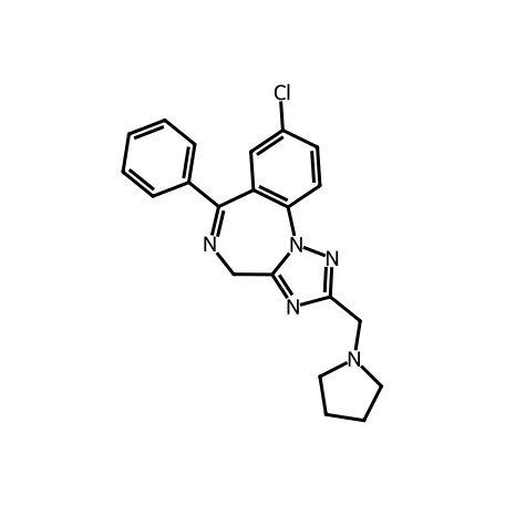 Clc1ccc2c(c1)C(c1ccccc1)=NCc1nc(CN3CCCC3)nn1-2